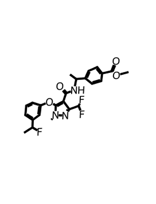 COC(=O)c1ccc(C(C)NC(=O)c2c(C(F)F)nn(C)c2Oc2cccc(C(C)F)c2)cc1